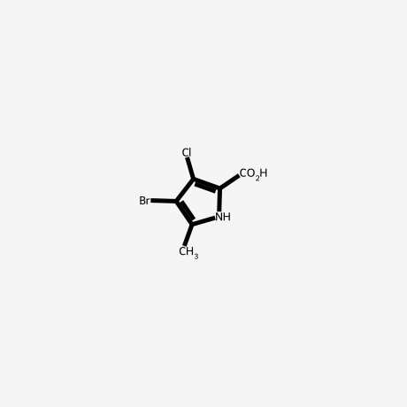 Cc1[nH]c(C(=O)O)c(Cl)c1Br